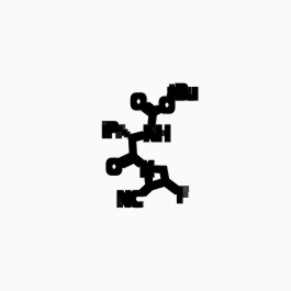 CC(C)[C@H](NC(=O)OC(C)(C)C)C(=O)N1CC(F)C1C#N